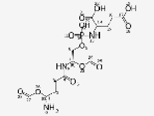 N[C@@H](CCC(=O)N[C@@H](COP(=O)(O)NC(CCC(=O)O)C(=O)O)OC=O)OC=O